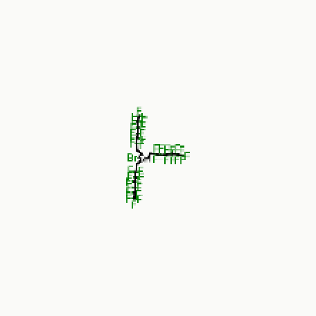 FC(F)(F)C(F)(F)C(F)(F)C(F)(F)C(F)(F)C(F)(F)C[CH2][Sn]([Br])([CH2]CC(F)(F)C(F)(F)C(F)(F)C(F)(F)C(F)(F)C(F)(F)F)[CH2]CC(F)(F)C(F)(F)C(F)(F)C(F)(F)C(F)(F)C(F)(F)F